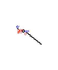 CCCCCCCCCCCCCCCC(=O)NC1CCC(OP(=O)(O)OCC[N+](C)(C)C)C1